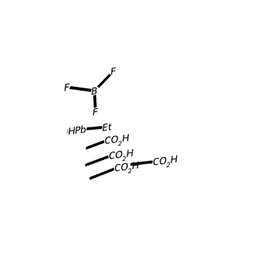 CC(=O)O.CC(=O)O.CC(=O)O.CC(=O)O.C[CH2][PbH].FB(F)F